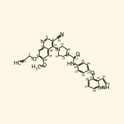 C#CCOc1cc2ncc(C#N)c(N3CCN(C(=O)Nc4ccc(Oc5cccc6[nH]ccc56)cc4)CC3)c2cc1OC